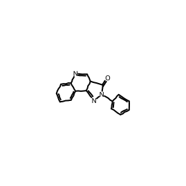 O=C1C2C=Nc3ccccc3C2=NN1c1ccccc1